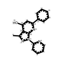 Cc1nn(-c2ccccn2)c2nc(-c3ccccc3)cc(O)c12